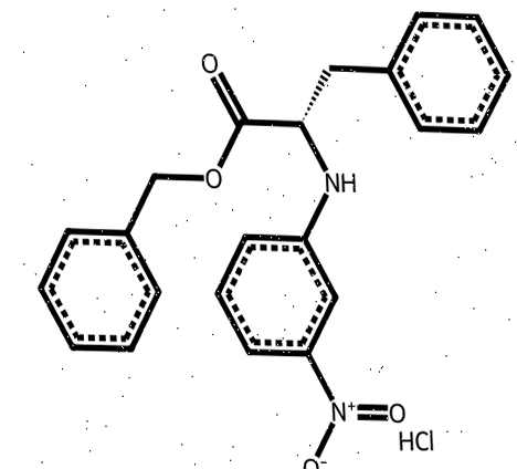 Cl.O=C(OCc1ccccc1)[C@H](Cc1ccccc1)Nc1cccc([N+](=O)[O-])c1